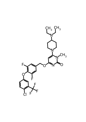 CCN(CC)C1CCN(c2cc(OCc3cc(F)c(Oc4ccc(Cl)c(C(F)(F)F)c4)c(F)c3)nc(=O)n2C)CC1